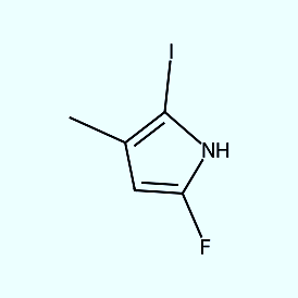 Cc1cc(F)[nH]c1I